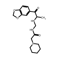 CC(NCNC(=O)CN1CCCCC1)C(=O)c1ccc2c(c1)OCO2